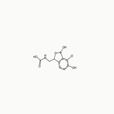 O=C(O)NCC1OB(O)c2c1ccc(O)c2Cl